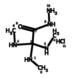 CNC(NC)(NC)C(=O)NN.Cl